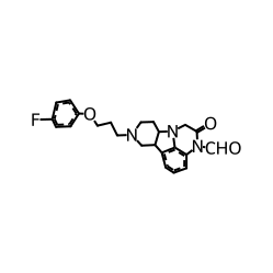 O=CN1C(=O)CN2c3c(cccc31)C1CN(CCCOc3ccc(F)cc3)CCC12